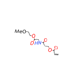 C=CC(=O)OCCC(=O)NCC(=O)OCCOC